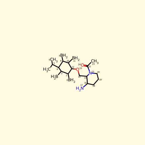 BC1C(B)C(C(C)C)C(B)C(B)C1OCC1C(N)CCCN1C(C)=O